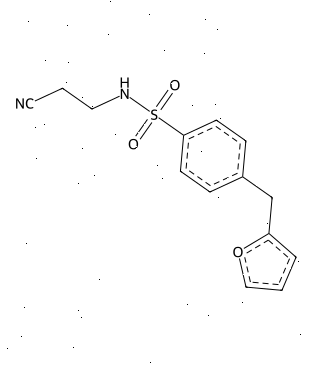 N#CCCNS(=O)(=O)c1ccc(Cc2ccco2)cc1